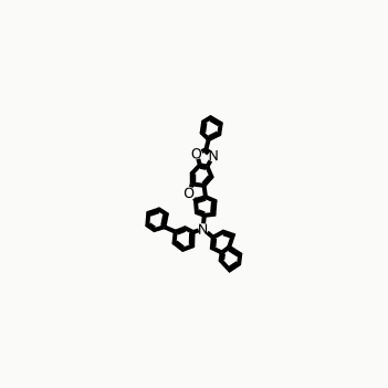 c1ccc(-c2cccc(N(c3ccc4ccccc4c3)c3ccc4c(c3)oc3cc5oc(-c6ccccc6)nc5cc34)c2)cc1